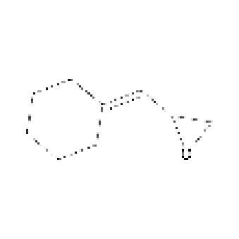 C(=C1CCCCC1)C1CO1